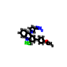 COc1ccc(-c2ccc3nc4c(c(N5CCC(N)C5)c3c2)CCCC4)cc1.Cl